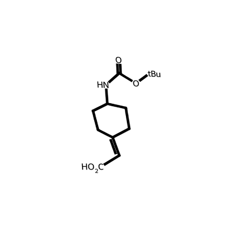 CC(C)(C)OC(=O)NC1CCC(=CC(=O)O)CC1